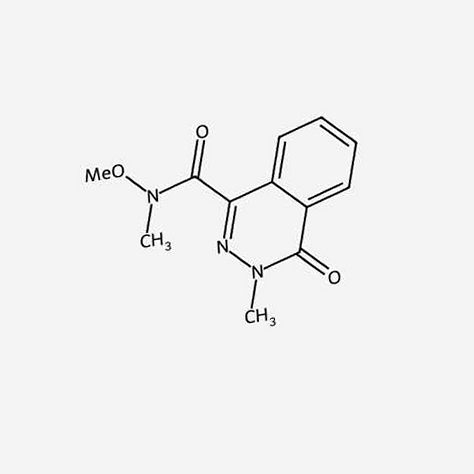 CON(C)C(=O)c1nn(C)c(=O)c2ccccc12